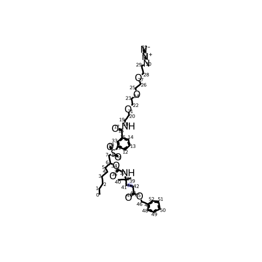 CCCCCCC(CS(=O)(=O)c1cccc(C(=O)NCCOCCOCCOCCN=[N+]=[N-])c1)OC(=O)NC(C)(C)/C=C/C(=O)OCc1ccccc1